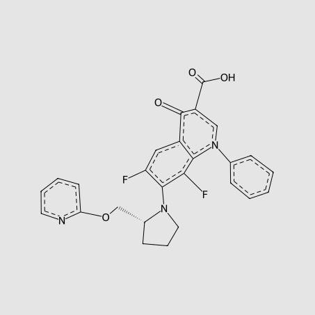 O=C(O)c1cn(-c2ccccc2)c2c(F)c(N3CCC[C@@H]3COc3ccccn3)c(F)cc2c1=O